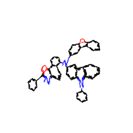 c1ccc(-c2nc3ccc4c(N(c5ccc6oc7ccccc7c6c5)c5ccc6c(c5)c5ccccc5n6-c5ccccc5)cccc4c3o2)cc1